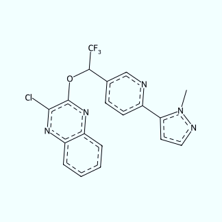 Cn1nccc1-c1ccc(C(Oc2nc3ccccc3nc2Cl)C(F)(F)F)cn1